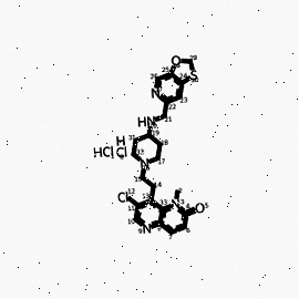 Cl.Cl.Cn1c(=O)ccc2ncc(Cl)c(CCN3CCC(NCc4cc5c(cn4)OCS5)CC3)c21